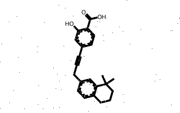 CC1(C)CCCc2ccc(CC#Cc3ccc(C(=O)O)c(O)c3)cc21